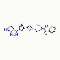 O=C(N1CCC(N2C[C](n3cc(-c4ncnc5[nH]ccc45)cn3)C2)CC1)C1(c2ccccc2)CC1